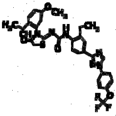 CCc1cc(-c2ncn(-c3ccc(OC(F)(F)F)cc3)n2)ccc1NC(=O)/N=C1\SCC(=O)N1c1cc(OC)ccc1C(C)C